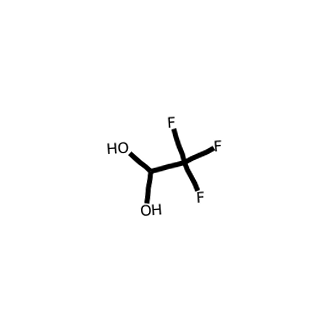 OC(O)C(F)(F)F